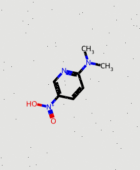 CN(C)c1ccc([N+](=O)O)cn1